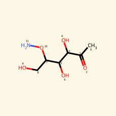 CC(=O)C(O)C(O)C(CO)ON